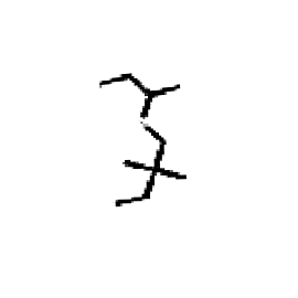 CCC(C)SCC(C)(C)CC